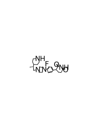 C[C@H](CN1CCN(c2ccc(C3CCC(=O)NC3=O)cc2F)CC1)C1CCNCC1